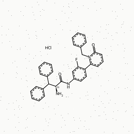 Cl.N[C@H](C(=O)Nc1ccc(-c2cccc(=O)n2Cc2ccccc2)c(F)c1)C(c1ccccc1)c1ccccc1